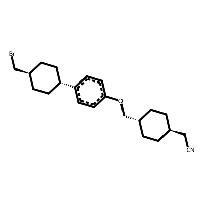 N#CC[C@H]1CC[C@H](COc2ccc([C@H]3CC[C@H](CBr)CC3)cc2)CC1